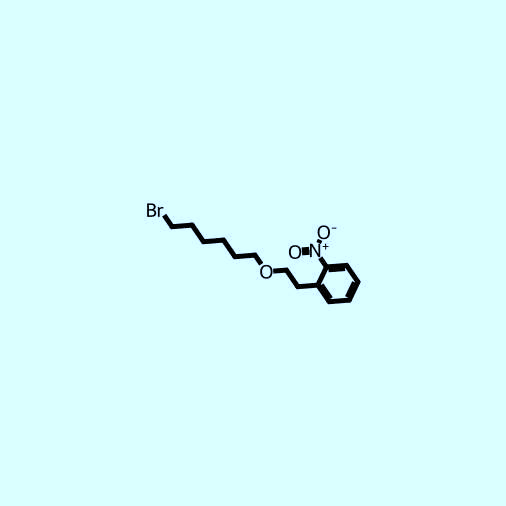 O=[N+]([O-])c1ccccc1CCOCCCCCCBr